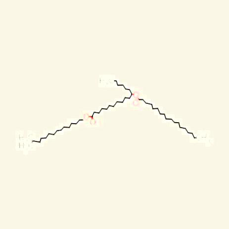 CCCCCCCCCCCCCCCCCC(=O)OC(CCCCCC)CCCCCCCCCCC(=O)OCCCCCCCCCCCCCC(C)C